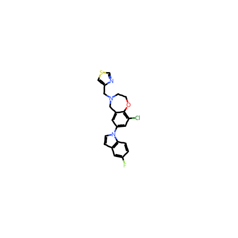 Fc1ccc2c(ccn2-c2cc(Cl)c3c(c2)CN(Cc2cscn2)CCO3)c1